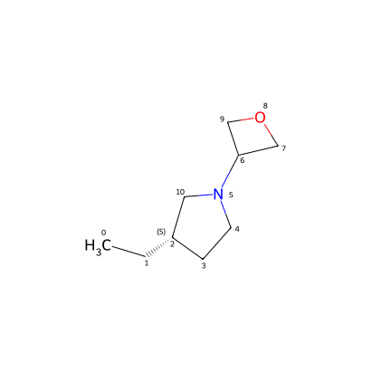 CC[C@H]1CCN(C2COC2)C1